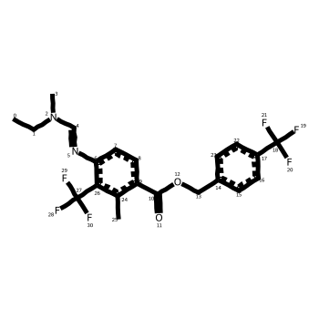 CCN(C)/C=N/c1ccc(C(=O)OCc2ccc(C(F)(F)F)cc2)c(C)c1C(F)(F)F